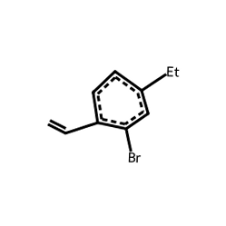 C=Cc1ccc(CC)cc1Br